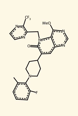 COc1ncnc2cc(C3CCN(c4c(C)cccc4F)CC3)c(=O)n(Cc3nccnc3C(F)(F)F)c12